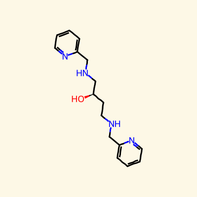 O[C@H](CCNCc1ccccn1)CNCc1ccccn1